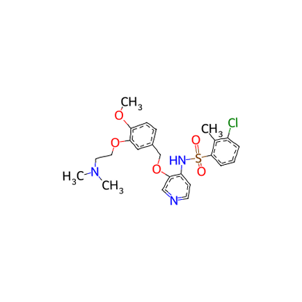 COc1ccc(COc2cnccc2NS(=O)(=O)c2cccc(Cl)c2C)cc1OCCN(C)C